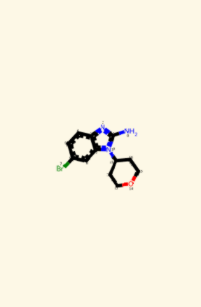 Nc1nc2ccc(Br)cc2n1C1CCOCC1